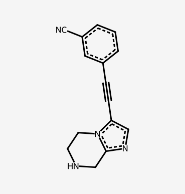 N#Cc1cccc(C#Cc2cnc3n2CCNC3)c1